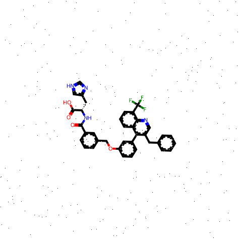 O=C(N[C@@H](Cc1c[nH]cn1)C(=O)O)c1cccc(COc2cccc(-c3c(Cc4ccccc4)cnc4c(C(F)(F)F)cccc34)c2)c1